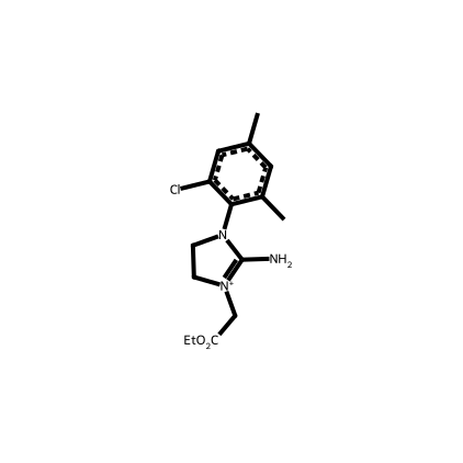 CCOC(=O)C[N+]1=C(N)N(c2c(C)cc(C)cc2Cl)CC1